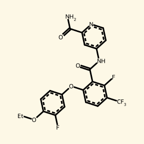 CCOc1ccc(Oc2ccc(C(F)(F)F)c(F)c2C(=O)Nc2ccnc(C(N)=O)c2)cc1F